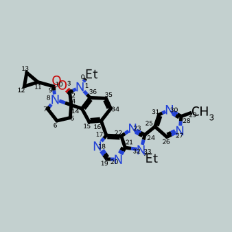 CCN1C(=O)C2(CCCN2C(=O)C2CC2)c2cc(-c3ncnc4c3nc(-c3cnc(C)nc3)n4CC)ccc21